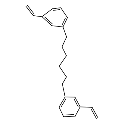 C=Cc1cccc(CCCCCCc2cccc(C=C)c2)c1